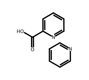 O=C(O)c1ccccn1.c1ccncc1